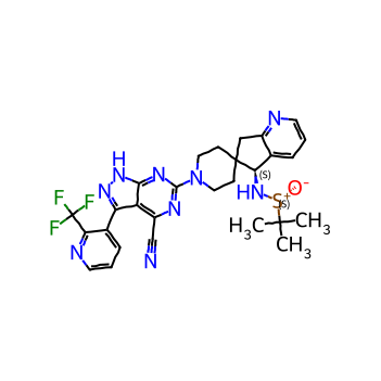 CC(C)(C)[S@@+]([O-])N[C@@H]1c2cccnc2CC12CCN(c1nc(C#N)c3c(-c4cccnc4C(F)(F)F)n[nH]c3n1)CC2